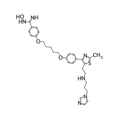 Cc1nc(-c2ccc(OCCCCCOc3ccc(C(=N)NO)cc3)cc2)c(CCNCCCn2ccnc2)s1